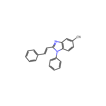 N#Cc1ccc2c(c1)nc(/C=C/c1ccccc1)n2-c1ccccc1